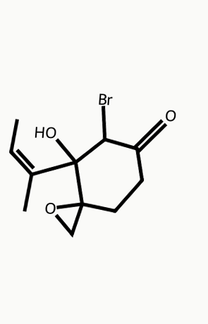 C/C=C(/C)C1(O)C(Br)C(=O)CCC12CO2